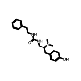 CN(C)[C@H](CNC(=O)NCCc1ccccc1)CC1=CC=C(O)CC1